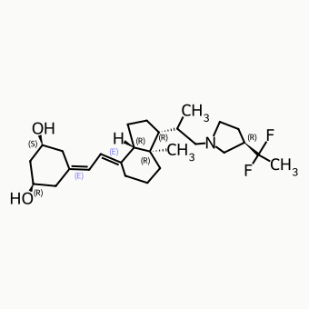 CC(CN1CC[C@@H](C(C)(F)F)C1)[C@H]1CC[C@H]2/C(=C/C=C3/C[C@@H](O)C[C@@H](O)C3)CCC[C@]12C